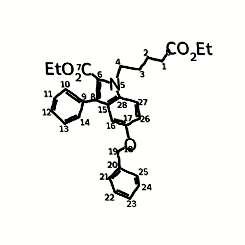 CCOC(=O)CCCCn1c(C(=O)OCC)c(-c2ccccc2)c2cc(OCc3ccccc3)ccc21